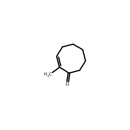 C/C1=C/CCCCCC1=O